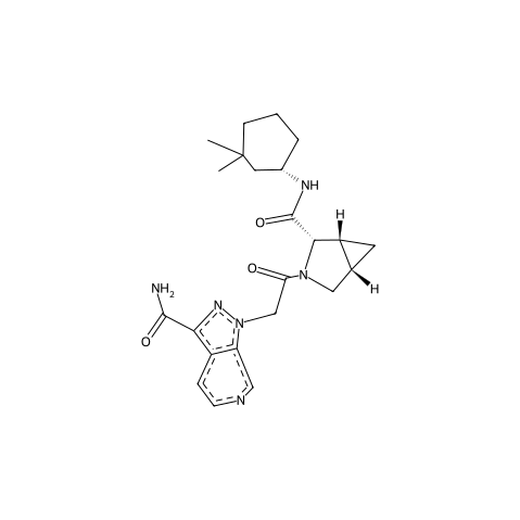 CC1(C)CCC[C@H](NC(=O)[C@@H]2[C@@H]3C[C@@H]3CN2C(=O)Cn2nc(C(N)=O)c3ccncc32)C1